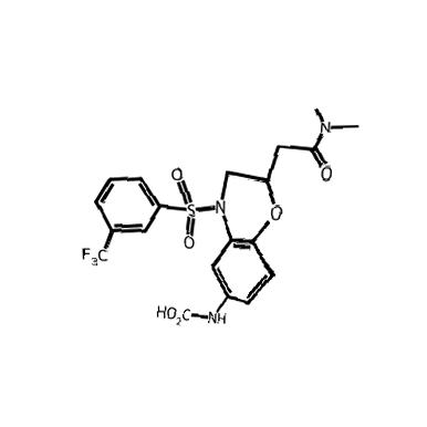 CN(C)C(=O)CC1CN(S(=O)(=O)c2cccc(C(F)(F)F)c2)c2cc(NC(=O)O)ccc2O1